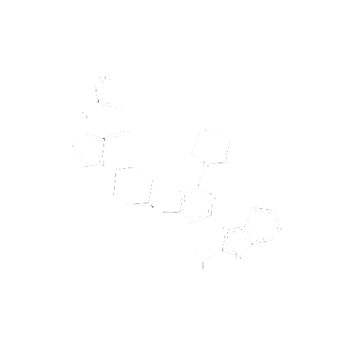 COC(=O)N[C@H]1CCN([C@H]2CC[C@H](Oc3cc(-n4c(C(F)F)nc5ccccc54)nc(N4CCOCC4)n3)CC2)C1=O